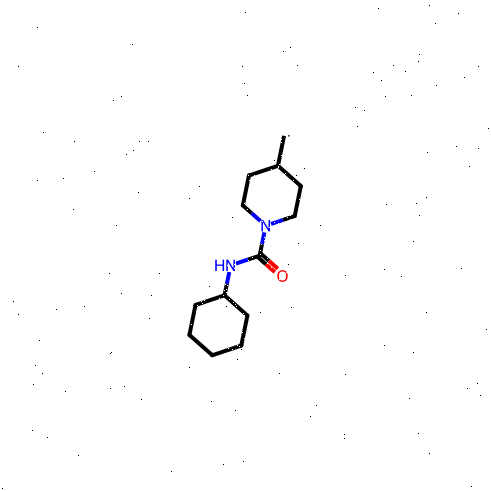 [CH2]C1CCN(C(=O)NC2CCCCC2)CC1